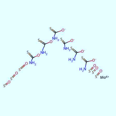 NC([O-])=S.NC([O-])=S.NC([O-])=S.NC([O-])=S.NC([O-])=S.NC([O-])=S.O=S.O=S.O=S.O=S.O=S.O=S.[Mo+6]